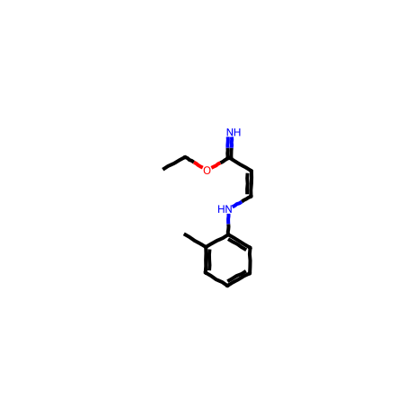 CCOC(=N)/C=C\Nc1ccccc1C